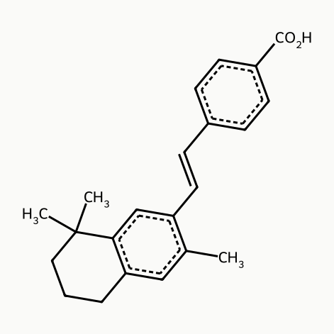 Cc1cc2c(cc1C=Cc1ccc(C(=O)O)cc1)C(C)(C)CCC2